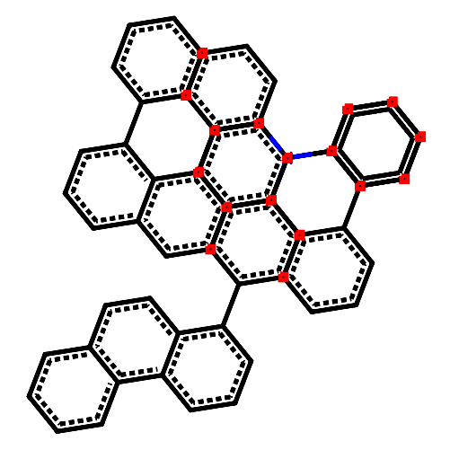 c1ccc(-c2ccccc2-c2ccccc2-c2ccccc2N(c2ccc(-c3cccc4c3ccc3ccccc34)cc2)c2ccccc2-c2cccc3cccc(-c4ccccc4)c23)cc1